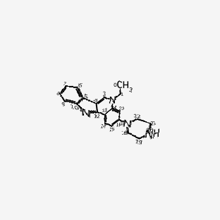 CCn1cc2c3ccccc3nc-2c2ccc(N3CCNCC3)cc21